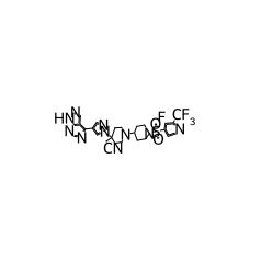 N#CCC1(n2cc(-c3ncnc4[nH]ncc34)cn2)CCN(C2CCN(S(=O)(=O)c3ccnc(C(F)(F)F)c3F)CC2)CC1